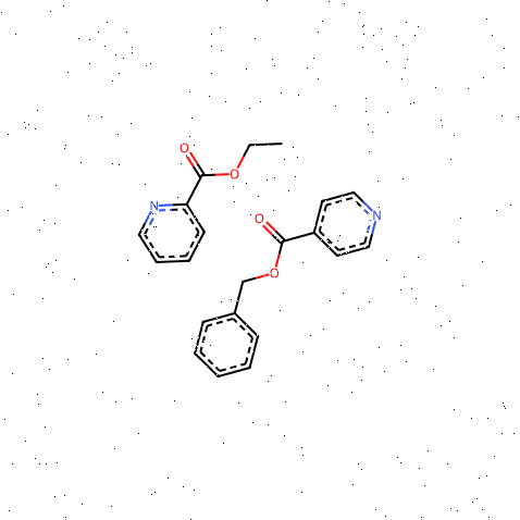 CCOC(=O)c1ccccn1.O=C(OCc1ccccc1)c1ccncc1